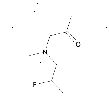 CC(=O)CN(C)CC(C)F